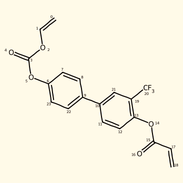 C=COC(=O)Oc1ccc(-c2ccc(OC(=O)C=C)c(C(F)(F)F)c2)cc1